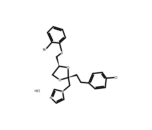 Cl.Clc1ccc(CC[C@@]2(Cn3ccnc3)OC[C@@H](CSc3ccccc3Br)O2)cc1